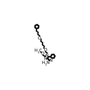 CCOCc1nc2c(N)nc3ccccc3c2n1CCOCCCCCCOCCCCc1ccccc1